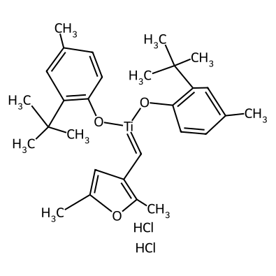 Cc1ccc([O][Ti](=[CH]c2cc(C)oc2C)[O]c2ccc(C)cc2C(C)(C)C)c(C(C)(C)C)c1.Cl.Cl